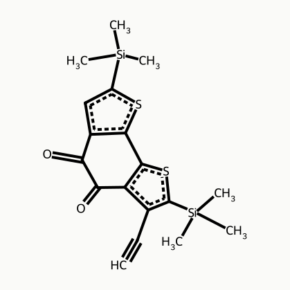 C#Cc1c([Si](C)(C)C)sc2c1C(=O)C(=O)c1cc([Si](C)(C)C)sc1-2